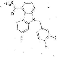 NC(=O)c1cccc2c1c1[c]cc(F)cc1n2Cc1ccc(F)c(F)c1